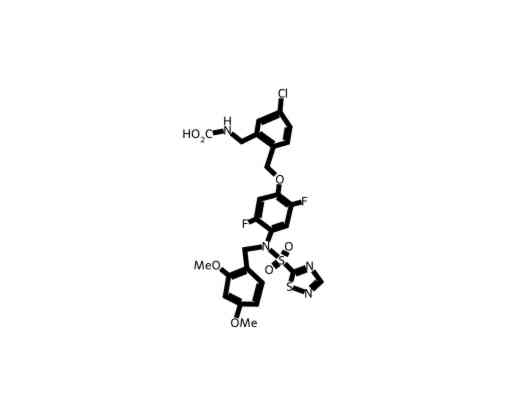 COc1ccc(CN(c2cc(F)c(OCc3ccc(Cl)cc3CNC(=O)O)cc2F)S(=O)(=O)c2ncns2)c(OC)c1